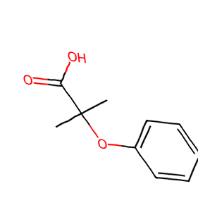 CC(C)(Oc1cc[c]cc1)C(=O)O